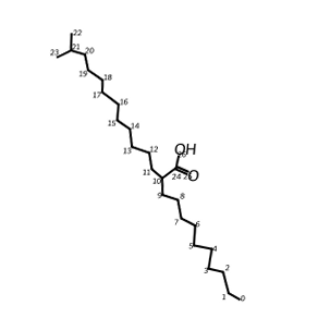 CCCCCCCCCCC(CCCCCCCCCCC(C)C)C(=O)O